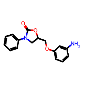 Nc1cccc(OCC2CN(c3ccccc3)C(=O)O2)c1